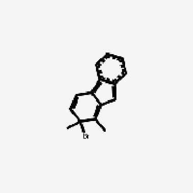 CC1=C2C=c3ccccc3=C2C=CC1(C)Br